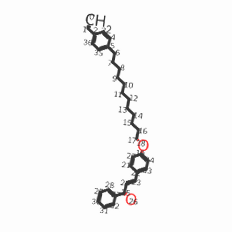 C=Cc1ccc(CCCCCCCCCCCCOc2ccc(C=CC(=O)c3ccccc3)cc2)cc1